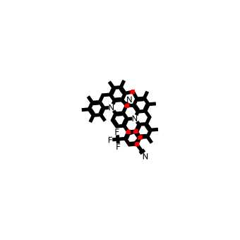 Cc1c(C)c(C)c2c(c1C)Cc1c(C)c(C)c(C)c(C)c1N2c1ccc(-c2ccc(C#N)cc2C(F)(F)F)c(N2c3c(C)c(C)c(C)c(C)c3Cc3c(C)c(C)c(C)c(C)c32)c1C#N